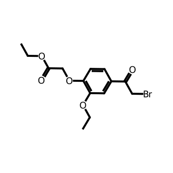 CCOC(=O)COc1ccc(C(=O)CBr)cc1OCC